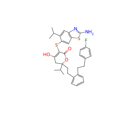 CC(C)c1cc2nc(N)sc2cc1SC1=C(O)CC(CCc2ccccc2CCc2ccc(F)cc2)(C(C)C)OC1=O